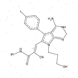 CC(C)NC(=O)/C(C#N)=C/c1c(-c2ccc(I)cc2)c2c(n1CCCO)=NCNC=2N